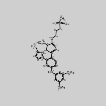 COc1cc(Nc2ncc(C3=CN=C(OCCCS(C)(=O)=O)C(C(=O)O)C3)c(-n3ccc(C(F)(F)F)n3)n2)cc(OC)c1